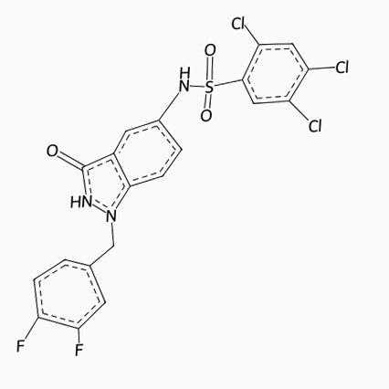 O=c1[nH]n(Cc2ccc(F)c(F)c2)c2ccc(NS(=O)(=O)c3cc(Cl)c(Cl)cc3Cl)cc12